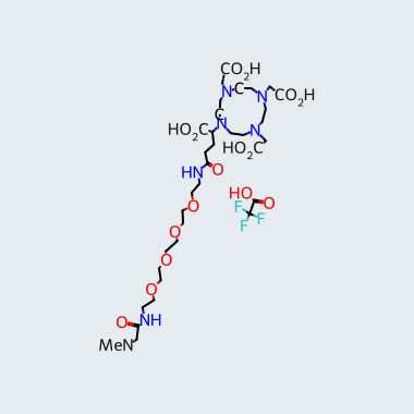 CNCC(=O)NCCOCCOCCOCCOCCNC(=O)CCC(C(=O)O)N1CCN(CC(=O)O)CCN(CC(=O)O)CCN(CC(=O)O)CC1.O=C(O)C(F)(F)F